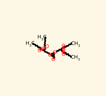 CCCCCCCC(=O)OCC(CCCCOc1cc(C=O)cc(OCCCCC(COC(=O)CCCCCCC)COC(=O)CCCCCCC)c1)COC(=O)CCCCCCC